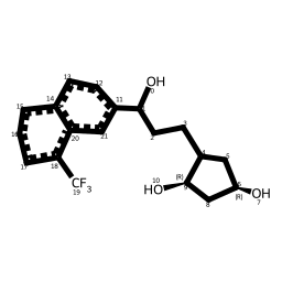 OC(CCC1C[C@@H](O)C[C@H]1O)c1ccc2cccc(C(F)(F)F)c2c1